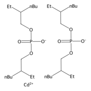 CCCCC(CC)COP(=O)([O-])OCC(CC)CCCC.CCCCC(CC)COP(=O)([O-])OCC(CC)CCCC.[Cd+2]